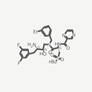 CCCCS(=O)(=O)C[C@@H](NC(=O)c1cnccn1)C(=O)N(Cc1cccc(CC)c1)C[C@@H](O)[C@@H](N)Cc1cc(F)cc(F)c1